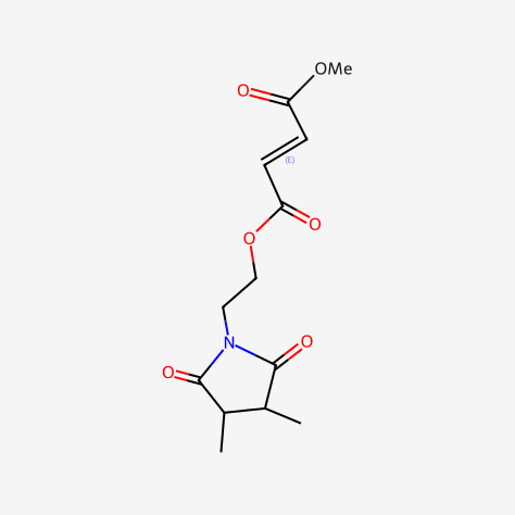 COC(=O)/C=C/C(=O)OCCN1C(=O)C(C)C(C)C1=O